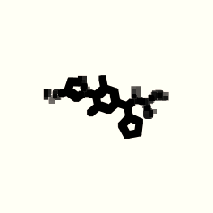 Cc1cc(C(N[S+]([O-])C(C)(C)C)C2CCCC2)cc(C)c1-n1cc(C(F)(F)F)cn1